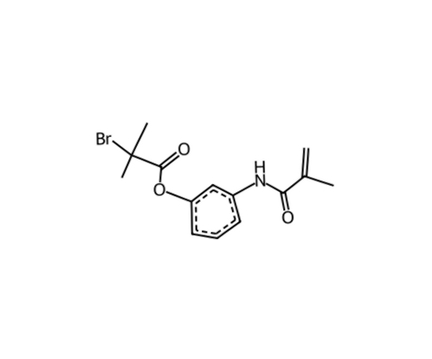 C=C(C)C(=O)Nc1cccc(OC(=O)C(C)(C)Br)c1